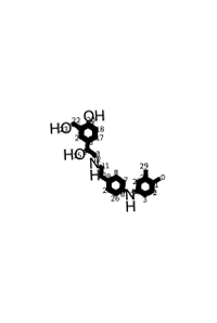 Cc1ccc(Nc2ccc(CCNCC(O)c3ccc(O)c(CO)c3)cc2)cc1C